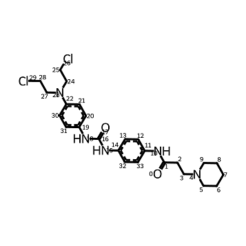 O=C(CCN1CCCCC1)Nc1ccc(NC(=O)Nc2ccc(N(CCCl)CCCl)cc2)cc1